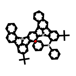 CC(C)(C)c1cc(N(c2ccccc2)c2ccccc2)c2c(c1)c1cc3ccccc3c3c4cc5c(cc4n2c13)c1cc(C(C)(C)C)cc2c3ccc4ccccc4c3n5c12